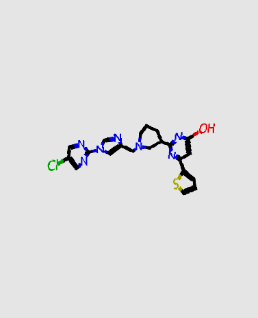 Oc1cc(-c2cccs2)nc(C2CCCN(Cc3cn(-c4ncc(Cl)cn4)cn3)C2)n1